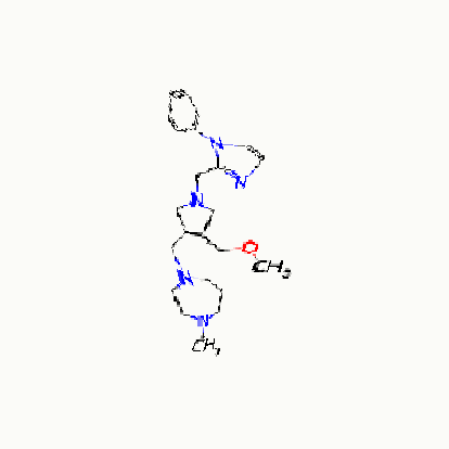 COCC1CN(Cc2nccn2-c2ccccc2)CC1CN1CCCN(C)CC1